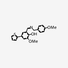 COc1ccc(C/N=C\c2cc(-c3cccs3)cc(OC)c2O)cc1